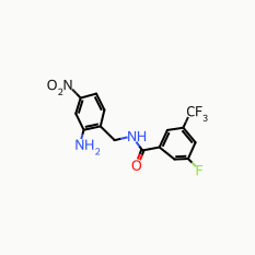 Nc1cc([N+](=O)[O-])ccc1CNC(=O)c1cc(F)cc(C(F)(F)F)c1